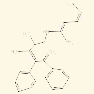 C=C(/C(=C(/N)C(C)CN/C(N)=C/C=C\N)c1ccccc1)c1ccccc1